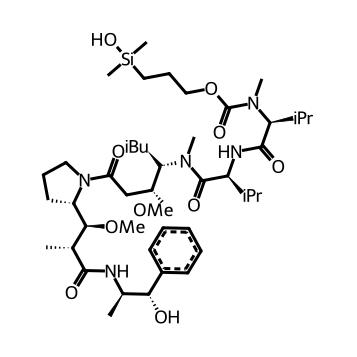 CC[C@H](C)[C@@H]([C@@H](CC(=O)N1CCC[C@H]1[C@@H](OC)[C@@H](C)C(=O)N[C@H](C)[C@@H](O)c1ccccc1)OC)N(C)C(=O)[C@@H](NC(=O)[C@H](C(C)C)N(C)C(=O)OCCC[Si](C)(C)O)C(C)C